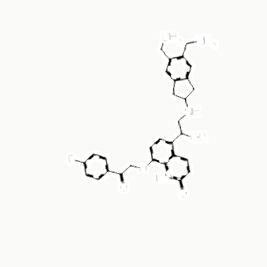 CCc1cc2c(cc1CC)CC(NCC(O)c1ccc(OCC(=O)c3ccc(F)cc3)c3[nH]c(=O)ccc13)C2